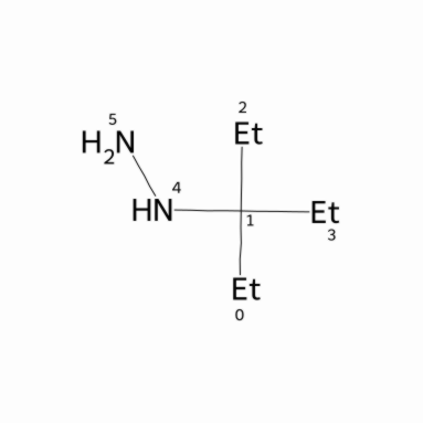 CCC(CC)(CC)NN